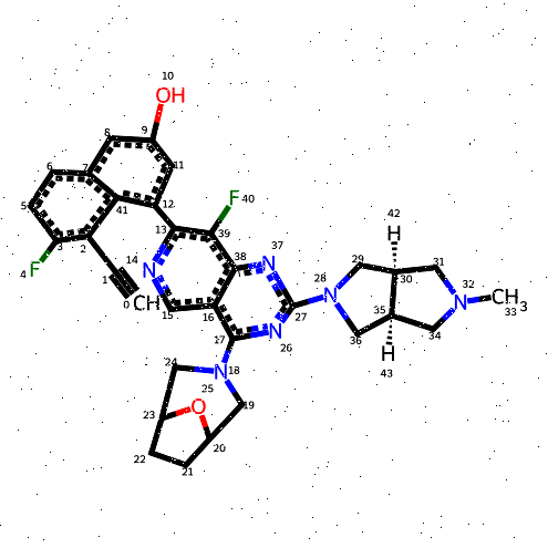 C#Cc1c(F)ccc2cc(O)cc(-c3ncc4c(N5CC6CCC(C5)O6)nc(N5C[C@H]6CN(C)C[C@H]6C5)nc4c3F)c12